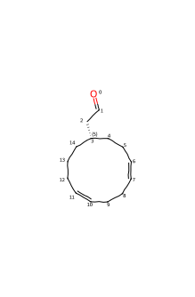 O=CC[C@@H]1CCC=CCCC=CCCC1